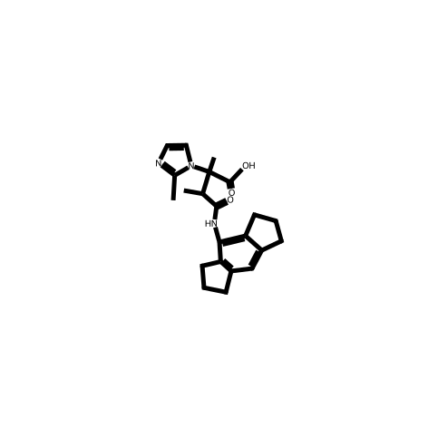 Cc1nccn1C(C)(C(=O)O)C(C)C(=O)Nc1c2c(cc3c1CCC3)CCC2